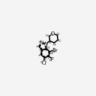 Fc1c(Cl)cc2cnn(C3CCCOC3)c2c1Br